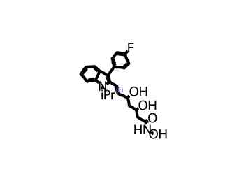 CC(C)n1c(/C=C/C(O)CC(O)CC(=O)NO)c(-c2ccc(F)cc2)c2ccccc21